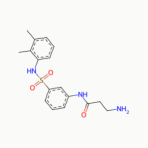 Cc1cccc(NS(=O)(=O)c2cccc(NC(=O)CCN)c2)c1C